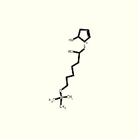 C[Si](C)(C)OCCCCCC(O)C[C@H]1C=CCC1O